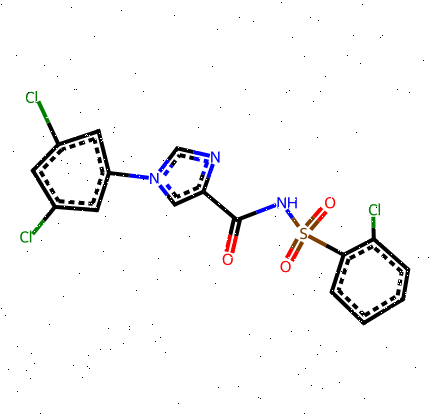 O=C(NS(=O)(=O)c1ccccc1Cl)c1cn(-c2cc(Cl)cc(Cl)c2)cn1